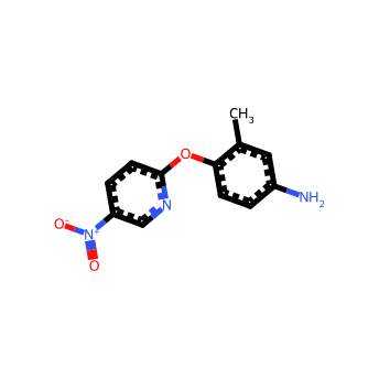 Cc1cc(N)ccc1Oc1ccc([N+](=O)[O-])cn1